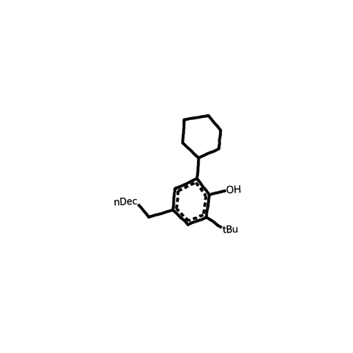 CCCCCCCCCCCc1cc(C2CCCCC2)c(O)c(C(C)(C)C)c1